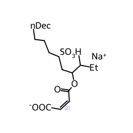 CCCCCCCCCCCCCCCC(OC(=O)/C=C\C(=O)[O-])C(CC)S(=O)(=O)O.[Na+]